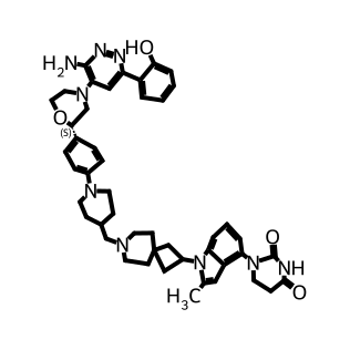 Cc1cc2c(N3CCC(=O)NC3=O)cccc2n1C1CC2(CCN(CC3CCN(c4ccc([C@H]5CN(c6cc(-c7ccccc7O)nnc6N)CCO5)cc4)CC3)CC2)C1